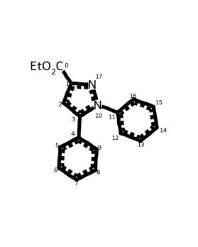 CCOC(=O)c1cc(-c2ccccc2)n(-c2ccccc2)n1